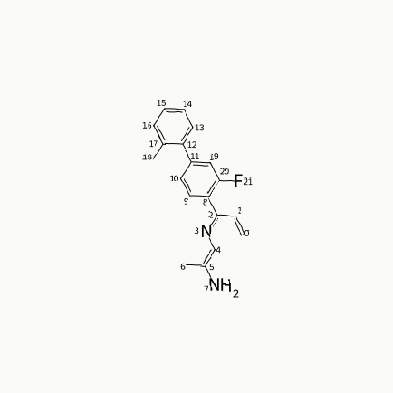 C=C/C(=N\C=C(/C)N)c1ccc(-c2ccccc2C)cc1F